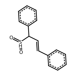 O=[SH](=O)C(C=Cc1ccccc1)c1ccccc1